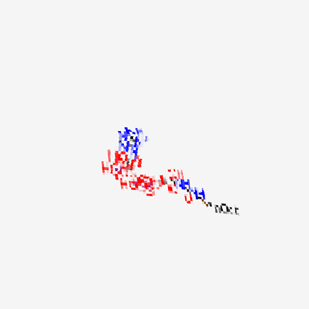 CCCCCCCC/C=C/SCCNC(=O)CCNC(=O)[C@H](O)C(C)(C)COP(=O)(O)OP(=O)(O)OC[C@H]1O[C@@H](n2cnc3c(N)ncnc32)[C@H](O)[C@@H]1OP(=O)(O)O